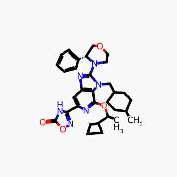 CC1CCC(Cn2c(N3CCOC[C@H]3c3ccccc3)nc3cc(-c4noc(=O)[nH]4)nc(OC(C)C4CCC4)c32)CC1